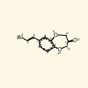 CCC(C)/C=C/c1ccc2c(c1)OCC(=O)CO2